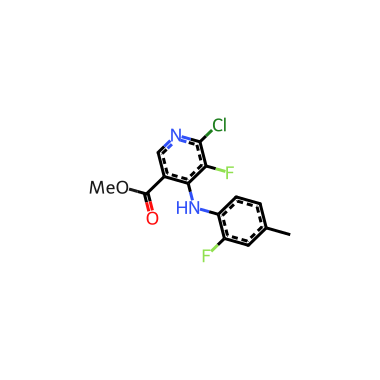 COC(=O)c1cnc(Cl)c(F)c1Nc1ccc(C)cc1F